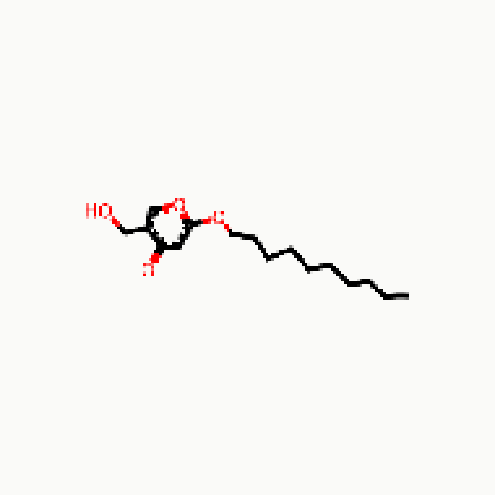 CCCCCCCCCCOc1cc(=O)c(CO)co1